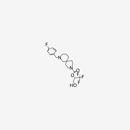 O=C(OC(CO)C(F)(F)F)N1CCC2(CCCN(Cc3ccc(F)cc3)C2)CC1